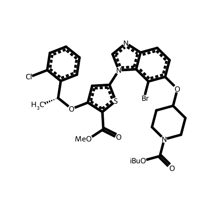 COC(=O)c1sc(-n2cnc3ccc(OC4CCN(C(=O)OCC(C)C)CC4)c(Br)c32)cc1O[C@H](C)c1ccccc1Cl